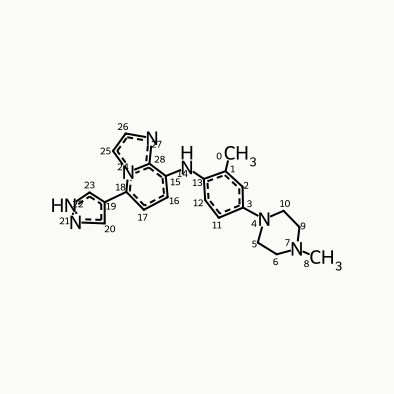 Cc1cc(N2CCN(C)CC2)ccc1Nc1ccc(-c2cn[nH]c2)n2ccnc12